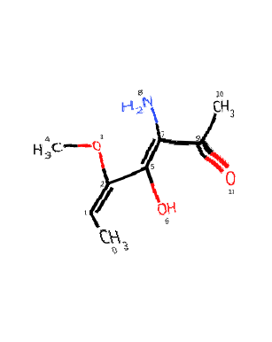 C/C=C(OC)\C(O)=C(/N)C(C)=O